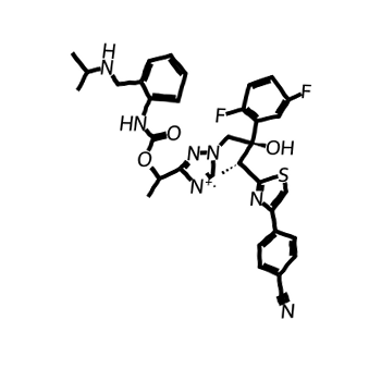 CC(C)NCc1ccccc1NC(=O)OC(C)C1=NN(C[C@](O)(c2cc(F)ccc2F)[C@@H](C)c2nc(-c3ccc(C#N)cc3)cs2)C=[N+]1